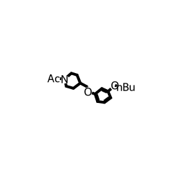 CCCCOc1cccc(OCC2CCN(C(C)=O)CC2)c1